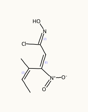 C\C=C(C)/C(=C\C(Cl)=N\O)[N+](=O)[O-]